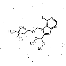 CCOC(OCC)c1cc2ncnc(I)c2n1COCC[Si](C)(C)C